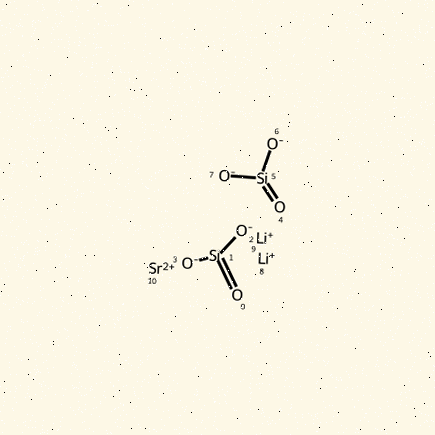 O=[Si]([O-])[O-].O=[Si]([O-])[O-].[Li+].[Li+].[Sr+2]